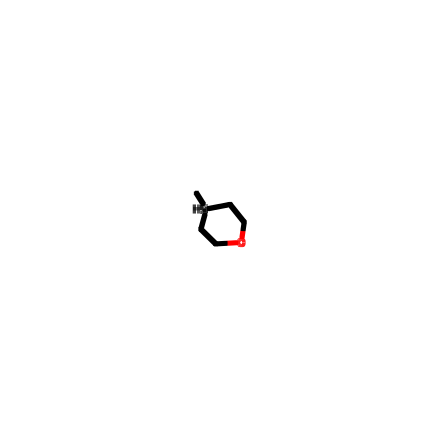 C[SiH]1CCOCC1